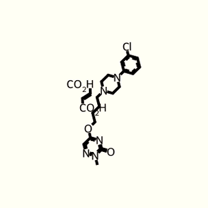 Cn1ncc(OCCCCN2CCN(c3cccc(Cl)c3)CC2)nc1=O.O=C(O)/C=C/C(=O)O